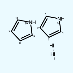 I.I.c1cc[nH]c1.c1cc[nH]c1